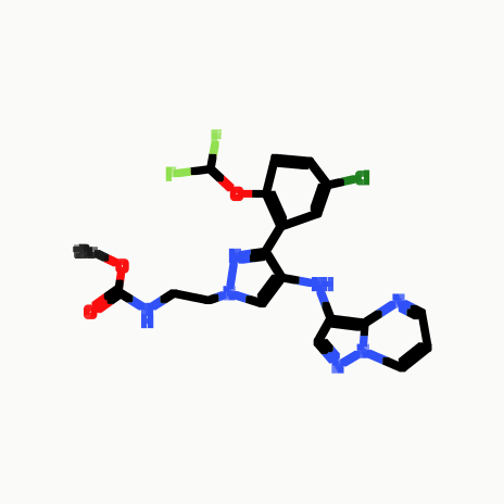 CC(C)(C)OC(=O)NCCn1cc(Nc2cnn3cccnc23)c(-c2cc(Cl)ccc2OC(F)F)n1